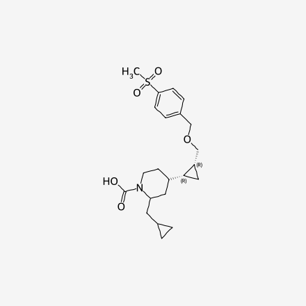 CS(=O)(=O)c1ccc(COC[C@@H]2C[C@@H]2C2CCN(C(=O)O)C(CC3CC3)C2)cc1